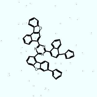 c1ccc(-c2ccc3c(c2)oc2cccc(-c4nc(-c5ccc(-c6ccccc6)c6ccccc56)nc(-c5cc6oc7ccccc7c6c6ccccc56)n4)c23)cc1